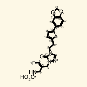 O=C(O)NCC(=CF)Cn1ncn(CCc2ccc(-c3ccc4c(c3)OCO4)s2)c1=O